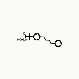 CC(C)(C(=O)NO)c1ccc(CCCCc2ccccc2)cc1